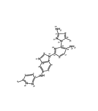 Cc1ccc(Nc2ccc3c(c2)ncn3-c2ccc(N)c(-n3nc(N)cc3C)n2)nn1